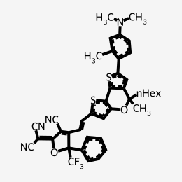 CCCCCCC1(C)Oc2cc(/C=C/C3=C(C#N)C(=C(C#N)C#N)OC3(c3ccccc3)C(F)(F)F)sc2-c2sc(-c3ccc(N(C)C)cc3C)cc21